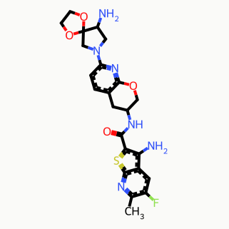 Cc1nc2sc(C(=O)NC3COc4nc(N5CC(N)C6(C5)OCCO6)ccc4C3)c(N)c2cc1F